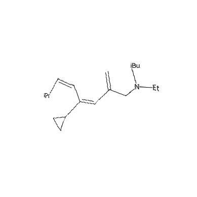 C=C(/C=C(\C=C/C(C)C)C1CC1)CN(CC)C(C)CC